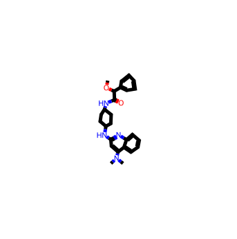 COC(C(=O)NC1CCC(Nc2cc(N(C)C)c3ccccc3n2)CC1)c1ccccc1